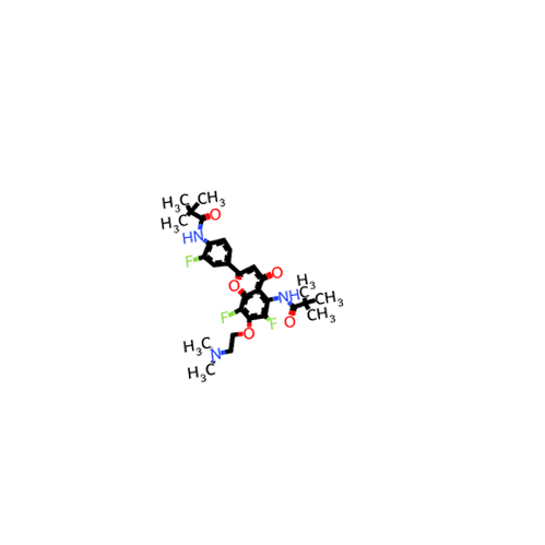 CN(C)CCOc1c(F)c(NC(=O)C(C)(C)C)c2c(=O)cc(-c3ccc(NC(=O)C(C)(C)C)c(F)c3)oc2c1F